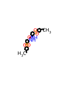 CCc1ccc(S(=O)(=O)c2cccc(NC(=O)Nc3cccc(S(=O)(=O)c4ccc(CC)cc4)c3)c2)cc1